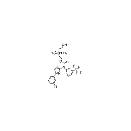 C[N+](C)(CCO)CCOC(=O)N(c1cccc(C(F)(F)F)c1)c1nc(-c2cccc(Cl)c2)cs1.[I-]